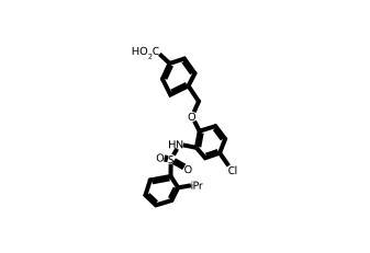 CC(C)c1ccccc1S(=O)(=O)Nc1cc(Cl)ccc1OCc1ccc(C(=O)O)cc1